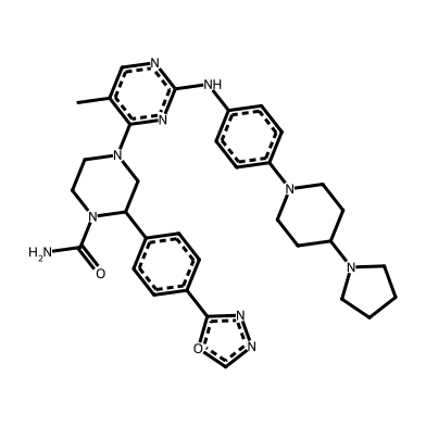 Cc1cnc(Nc2ccc(N3CCC(N4CCCC4)CC3)cc2)nc1N1CCN(C(N)=O)C(c2ccc(-c3nnco3)cc2)C1